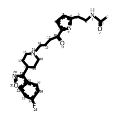 CC(=O)NCCc1ccc(C(=O)CCCN2CCC(c3noc4cc(F)ccc34)CC2)s1